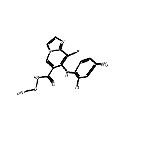 Bc1ccc(Nc2c(C(=O)NOCCC)cn3ccnc3c2F)c(Cl)c1